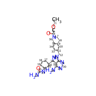 CCOCC(=O)N1CCc2cc(Cn3nc(-c4ccc5oc(N)nc5c4)c4c(N)ncnc43)ccc2C1